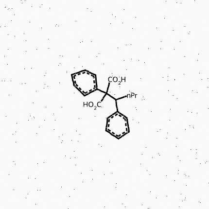 CCCC(c1ccccc1)C(C(=O)O)(C(=O)O)c1ccccc1